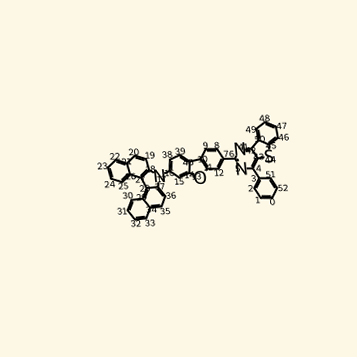 c1ccc(-c2nc(-c3ccc4c(c3)oc3cc(-n5c6ccc7ccccc7c6c6c7ccccc7ccc65)ccc34)nc3c2sc2ccccc23)cc1